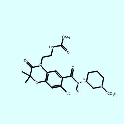 CCc1cc2c(cc1C(=O)N(C(C)C)[C@@H]1CCCN(C(=O)O)C1)N(CCNC(=O)OC)C(=O)C(C)(C)O2